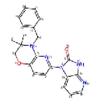 CC1(C)COc2ccc(-n3c(=O)[nH]c4ncccc43)nc2N1Cc1ccccc1